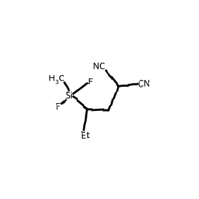 CCC(CC(C#N)C#N)[Si](C)(F)F